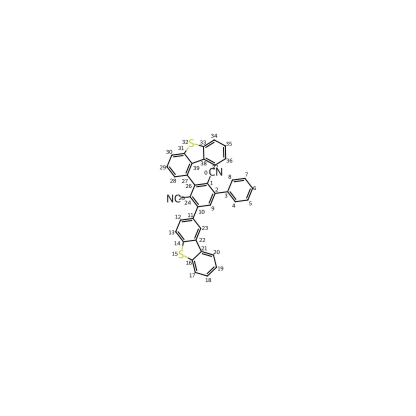 N#Cc1c(-c2ccccc2)cc(-c2ccc3sc4ccccc4c3c2)c(C#N)c1-c1cccc2sc3ccccc3c12